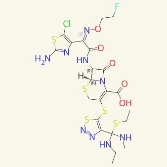 CCNC(NC)(SCC)c1nnsc1SC1=C(C(=O)O)N2C(=O)[C@@H](NC(=O)/C(=N\OCCF)c3nc(N)sc3Cl)[C@H]2SC1